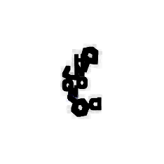 CCC(O/N=C/c1cccc(Cl)c1)C(=O)NCc1ccccc1